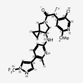 COc1cc([C@@H](C)C(=O)N2C[C@@H](Nc3ccc(-c4cnn(C(F)(F)F)c4)c(C)n3)C3(CC3)C2)c(Cl)cn1